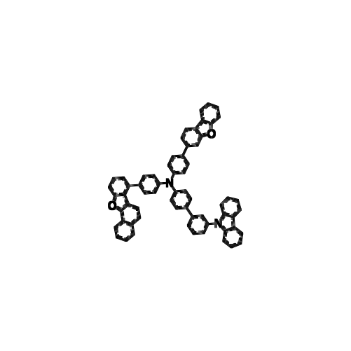 c1cc(-c2ccc(N(c3ccc(-c4ccc5c(c4)oc4ccccc45)cc3)c3ccc(-c4cccc5oc6c7ccccc7ccc6c45)cc3)cc2)cc(-n2c3ccccc3c3ccccc32)c1